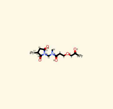 CC(C)C(=O)COCCC(=O)N(C)CN1C(=O)CC(C(C)C)C1=O